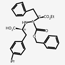 CCOC(=O)[C@H](Cc1ccccc1)N(N[C@@H](Cc1ccc(C(C)C)cc1)C(=O)O)C(=O)OCc1ccccc1